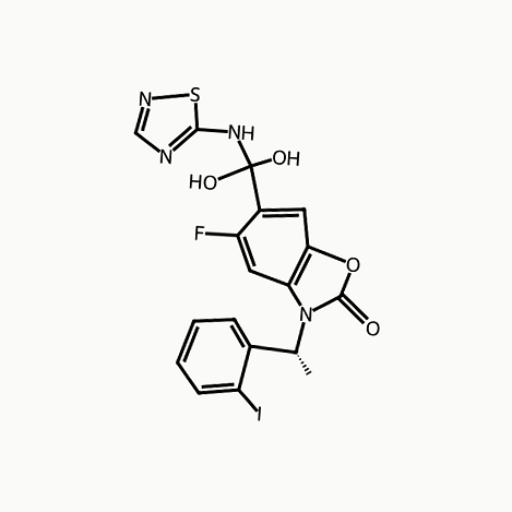 C[C@H](c1ccccc1I)n1c(=O)oc2cc(C(O)(O)Nc3ncns3)c(F)cc21